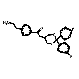 CCCc1ccc(C(=O)OC2COC(c3ccc(F)cc3)(c3ccc(F)cc3)OC2)cc1